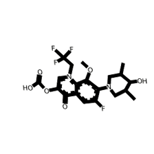 COc1c(N2CC(C)C(O)C(C)C2)c(F)cc2c(=O)c(OC(=O)O)cn(CC(F)(F)F)c12